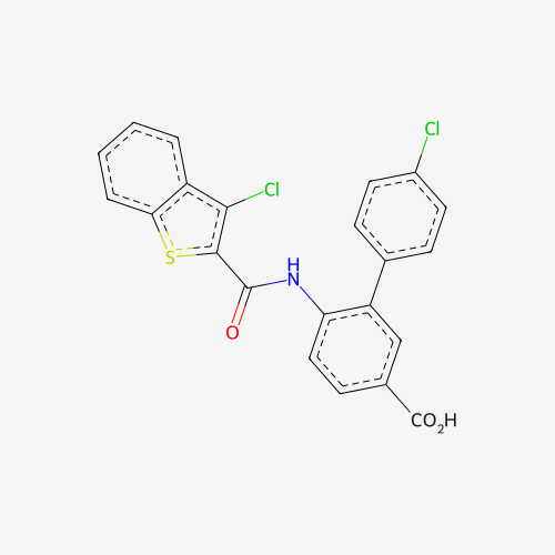 O=C(O)c1ccc(NC(=O)c2sc3ccccc3c2Cl)c(-c2ccc(Cl)cc2)c1